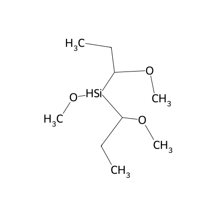 CCC(OC)[SiH](OC)C(CC)OC